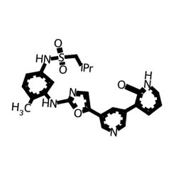 Cc1ccc(NS(=O)(=O)CC(C)C)cc1Nc1ncc(-c2cncc(-c3ccc[nH]c3=O)c2)o1